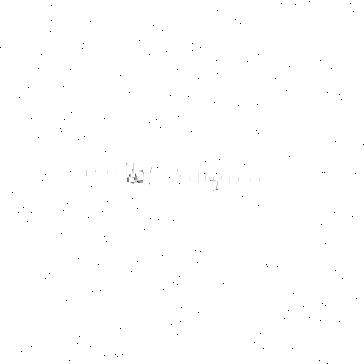 CCCCCCCCC(CCCCCC)CC(=O)OCCCCCC(=O)CCCCCOC(=O)CN(C)C(=O)C(CCCCCC)CCCCCCCC